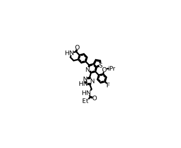 CCC(=O)NCc1nc(-c2nc(-c3ccc4c(c3)CCNC4=O)c3ccsc3c2-c2ccc(F)cc2OC(C)C)n[nH]1